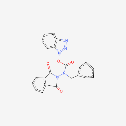 O=C(On1nnc2ccccc21)N(Cc1ccccc1)N1C(=O)c2ccccc2C1=O